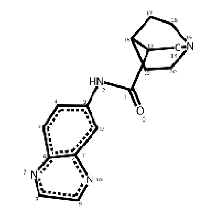 O=C(Nc1ccc2nccnc2c1)C1CN2CCC1CC2